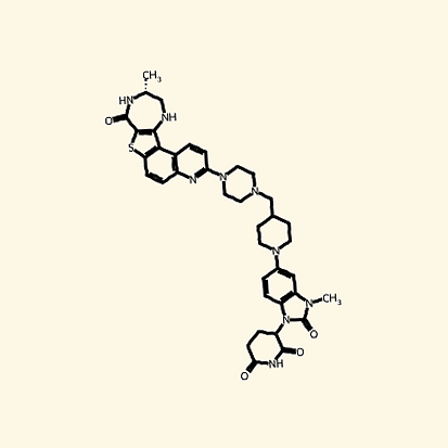 C[C@@H]1CNc2c(sc3ccc4nc(N5CCN(CC6CCN(c7ccc8c(c7)n(C)c(=O)n8C7CCC(=O)NC7=O)CC6)CC5)ccc4c23)C(=O)N1